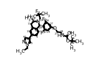 CCn1cc(-c2ccc3c(c2)C[C@@H](C)N(CC(C)(C)F)[C@@H]3c2c(F)cc(OCCNC(=O)OC(C)(C)C)cc2F)cn1